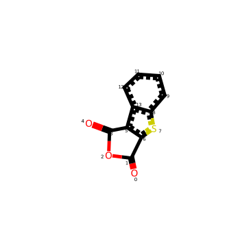 O=C1OC(=O)c2c1sc1ccccc21